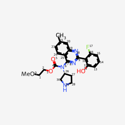 COCCOC(=O)N(c1nc(-c2c(O)cccc2F)nc2cc(C)ccc12)[C@@H]1CCNC1